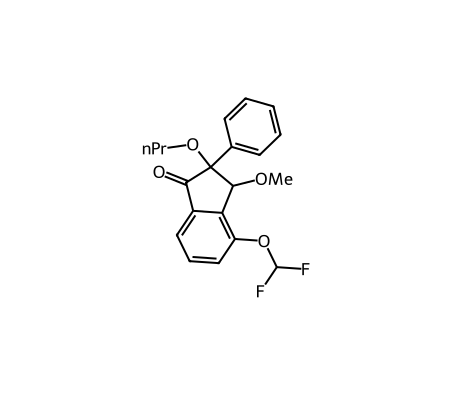 CCCOC1(c2ccccc2)C(=O)c2cccc(OC(F)F)c2C1OC